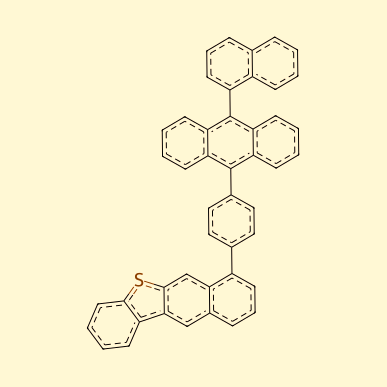 c1cc(-c2ccc(-c3c4ccccc4c(-c4cccc5ccccc45)c4ccccc34)cc2)c2cc3sc4ccccc4c3cc2c1